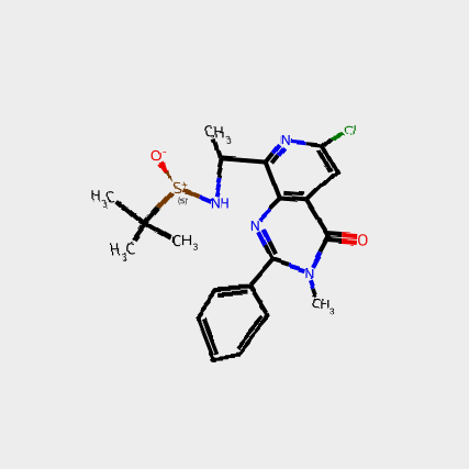 CC(N[S@+]([O-])C(C)(C)C)c1nc(Cl)cc2c(=O)n(C)c(-c3ccccc3)nc12